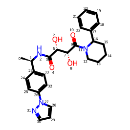 C[C@@H](NC(=O)[C@H](O)[C@@H](O)C(=O)N1CCCCC1c1ccccc1)c1ccc(-n2cccn2)cc1